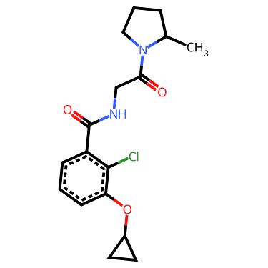 CC1CCCN1C(=O)CNC(=O)c1cccc(OC2CC2)c1Cl